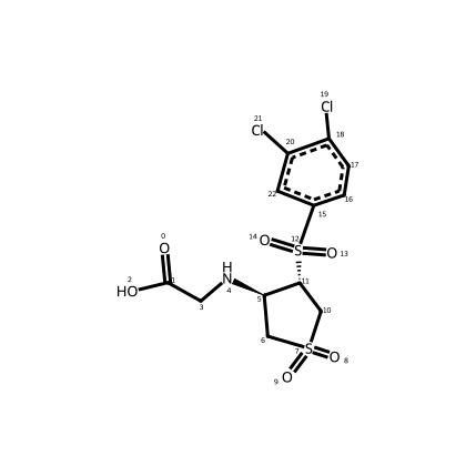 O=C(O)CN[C@@H]1CS(=O)(=O)C[C@H]1S(=O)(=O)c1ccc(Cl)c(Cl)c1